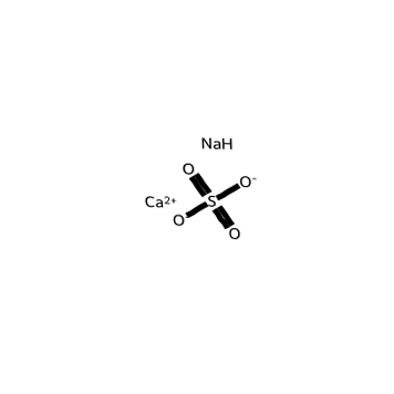 O=S(=O)([O-])[O-].[Ca+2].[NaH]